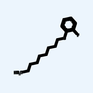 O=C(O)CCCCCCCCOc1ccccc1F